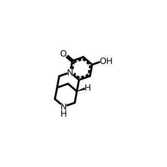 O=c1cc(O)cc2n1CC1CNC[C@@H]2C1